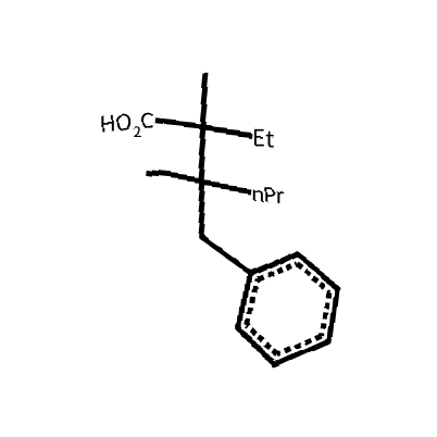 CCCC(C)(Cc1ccccc1)C(C)(CC)C(=O)O